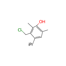 Cc1cc(C(C)C)c(CCl)c(C)c1O